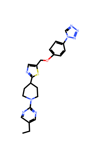 CCc1cnc(N2CCC(c3ncc(COc4ccc(-n5cnnn5)cc4)s3)CC2)nc1